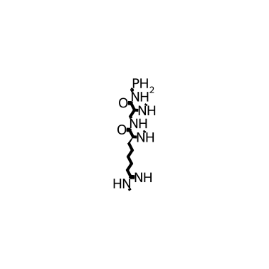 CNC(=N)CCCCC[C@H](NC)C(=O)NCC(NC)C(=O)NCP